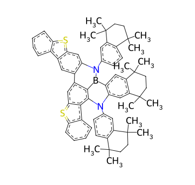 CC1(C)CCC(C)(C)c2cc(N3B4c5cc6c(cc5N(c5ccc7c(c5)C(C)(C)CCC7(C)C)c5c4c(cc4sc7ccccc7c54)-c4cc5c(cc43)sc3ccccc35)C(C)(C)CCC6(C)C)ccc21